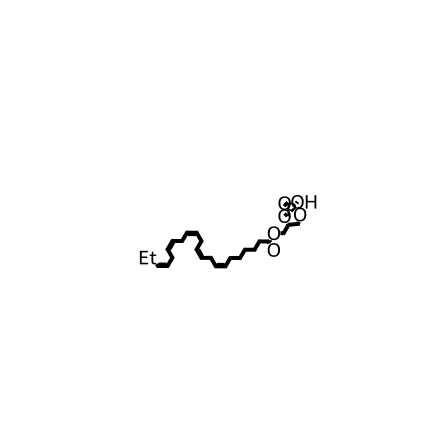 CC/C=C\C/C=C\C/C=C\C/C=C\C/C=C\CCCCCC(=O)OCC1COP(=O)(O)O1